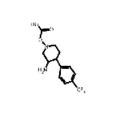 CC(C)(C)C(=O)ON1CCC(c2ccc(C(F)(F)F)cc2)C(N)C1